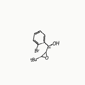 CC(C)(C)C1OC1[C@H](O)c1ccccc1Br